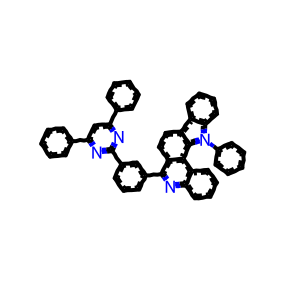 c1ccc(-c2cc(-c3ccccc3)nc(-c3cccc(-c4nc5ccccc5c5c4ccc4c6ccccc6n(-c6ccccc6)c45)c3)n2)cc1